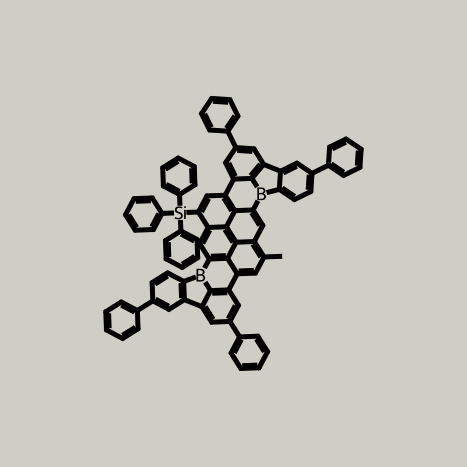 Cc1cc2c3c(cc4c([Si](c5ccccc5)(c5ccccc5)c5ccccc5)cc5c6c(cc1c3c46)B1c3ccc(-c4ccccc4)cc3-c3cc(-c4ccccc4)cc-5c31)B1c3ccc(-c4ccccc4)cc3-c3cc(-c4ccccc4)cc-2c31